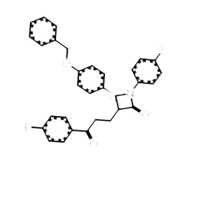 O=C(CCC1C(=O)N(c2ccc(F)cc2)[C@@H]1c1ccc(OCc2ccccc2)cc1)c1ccc(F)cc1